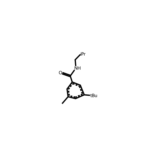 Cc1cc(C(=O)NCC(C)C)cc(C(C)(C)C)c1